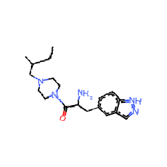 CCC(C)CN1CCN(C(=O)C(N)Cc2ccc3[nH]ncc3c2)CC1